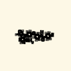 CC1OCc2c1c1ncnc(N)c1n2-c1ccc(Oc2cccc(NC(=O)c3ccc(F)cc3)c2)cc1